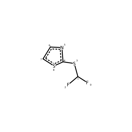 FC(F)Sc1n[c]cs1